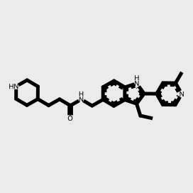 CCc1c(-c2ccnc(C)c2)[nH]c2ccc(CNC(=O)CCC3CCNCC3)cc12